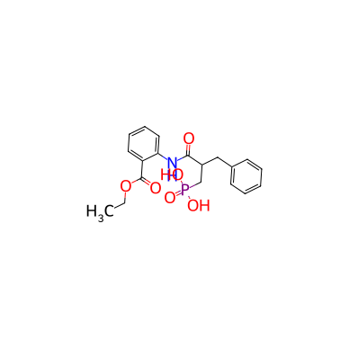 CCOC(=O)c1ccccc1NC(=O)C(Cc1ccccc1)CP(=O)(O)O